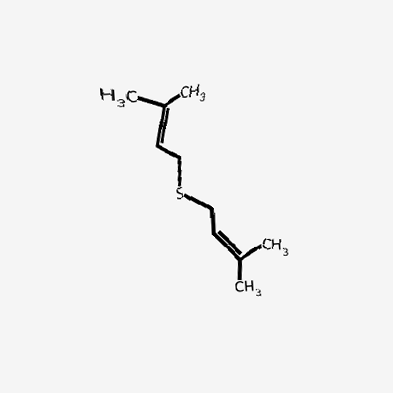 CC(C)=CCSCC=C(C)C